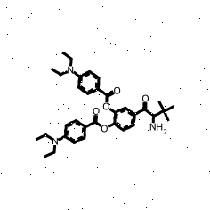 CCN(CC)c1ccc(C(=O)Oc2ccc(C(=O)C(N)C(C)(C)C)cc2OC(=O)c2ccc(N(CC)CC)cc2)cc1